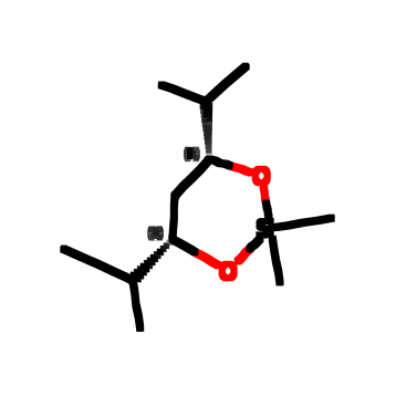 CC(C)[C@@H]1C[C@H](C(C)C)O[Si](C)(C)O1